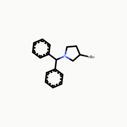 CCCCC1CCN(C(c2ccccc2)c2ccccc2)C1